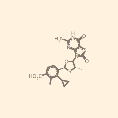 Cc1c(C(=O)O)ccc([C@H]2OC(n3c(=O)sc4c(=O)[nH]c(N)nc43)[C@H](C)S2)c1C1CC1